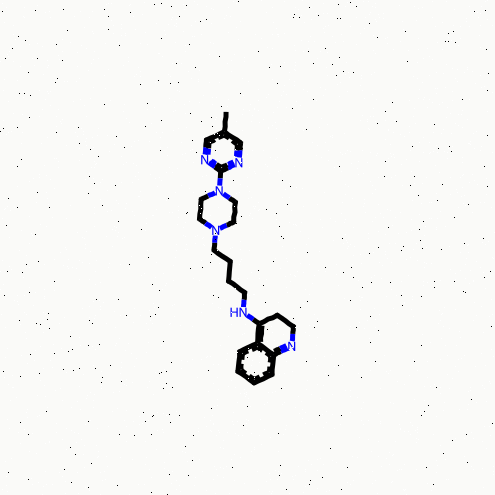 Cc1cnc(N2CCN(CCCCNC3=c4ccccc4=NCC3)CC2)nc1